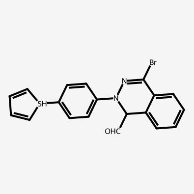 O=CC1c2ccccc2C(Br)=NN1c1ccc([SH]2C=CC=C2)cc1